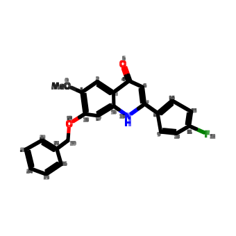 COc1cc2c(=O)cc(-c3ccc(F)cc3)[nH]c2cc1OCc1ccccc1